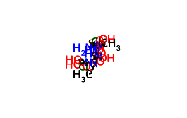 CCCCCCN(CCNC(=O)c1ccc(O)c(O)c1Cl)CC1=C(C(=O)O)N2C(=O)C(NC(=O)/C(=N\O[C@@H](C)C(=O)O)c3nc(N)sc3Cl)C2SC1